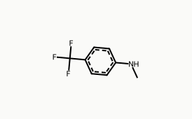 CNc1ccc(C(F)(F)F)cc1